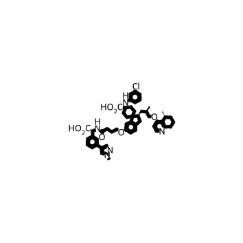 C[C@@H](COc1ccnc2c1[C@H](C)CCC2)C[C@H]1Cc2ccc(OCCCC(=O)N[C@@H](C(=O)O)c3cccc(-c4cnn(C)c4)c3)cc2C12CCC(Nc1cccc(Cl)c1)(C(=O)O)CC2